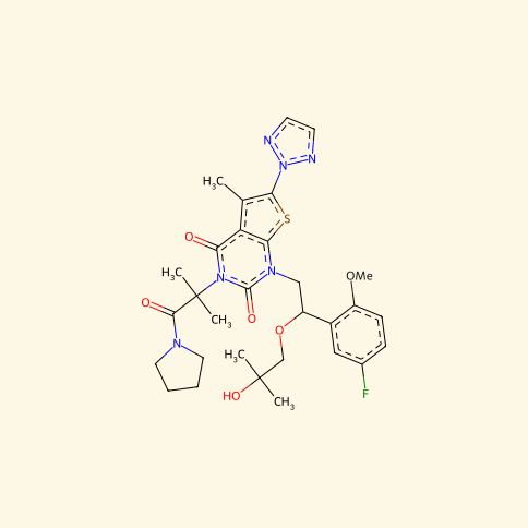 COc1ccc(F)cc1C(Cn1c(=O)n(C(C)(C)C(=O)N2CCCC2)c(=O)c2c(C)c(-n3nccn3)sc21)OCC(C)(C)O